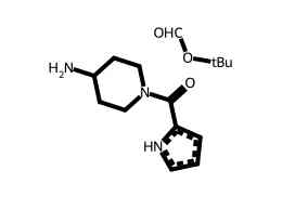 CC(C)(C)OC=O.NC1CCN(C(=O)c2ccc[nH]2)CC1